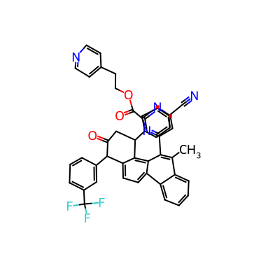 Cc1c(-c2ccnc(C(=O)OCCc3ccncc3)n2)c2c3c(ccc2c2ccccc12)C(c1cccc(C(F)(F)F)c1)C(=O)CC3c1ccc(C#N)cc1